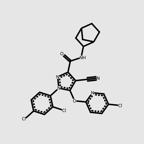 N#Cc1c(C(=O)NC2CC3CCC2C3)nn(-c2ccc(Cl)cc2Cl)c1Oc1ccc(Cl)cn1